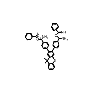 CC1(C)c2ccccc2Sc2cc(-c3ccc(C(N)OC(=N)c4ccccc4)cc3)c(-c3ccc(C(N)OC(N)c4ccccc4)cc3)cc21